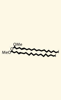 COC(CCC=CCCCCCCCCCCCCCI)OC(CCC=CCCCCCCCCCCCCCI)OC